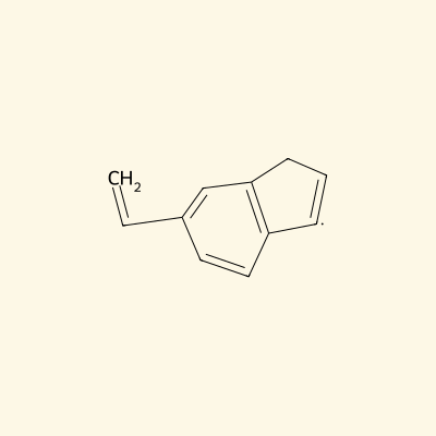 C=Cc1ccc2c(c1)CC=[C]2